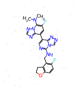 CN(C)c1c(F)cc(-c2cnc(NCc3c(F)ccc4c3CCO4)n3cnnc23)c2ncnn12